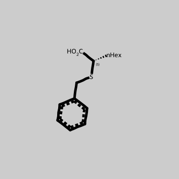 CCCCCC[C@H](SCc1ccccc1)C(=O)O